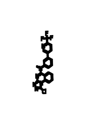 CN(c1cccc(-c2ccc(C(F)(F)F)nc2)c1)c1nc2nnc(Cl)n2c2ccccc12